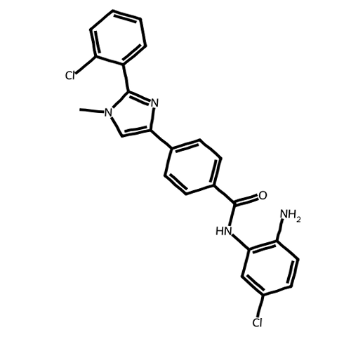 Cn1cc(-c2ccc(C(=O)Nc3cc(Cl)ccc3N)cc2)nc1-c1ccccc1Cl